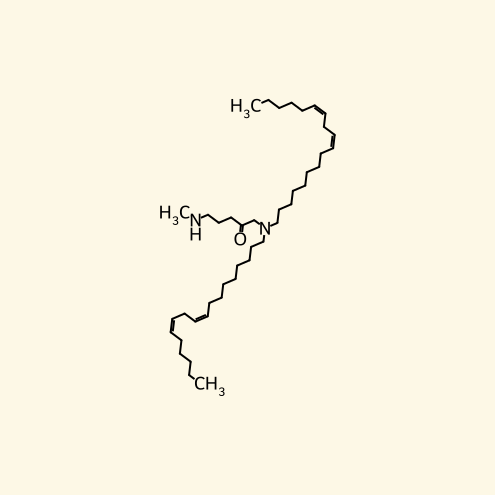 CCCCC/C=C\C/C=C\CCCCCCCCN(CCCCCCCC/C=C\C/C=C\CCCCC)CC(=O)CCCNC